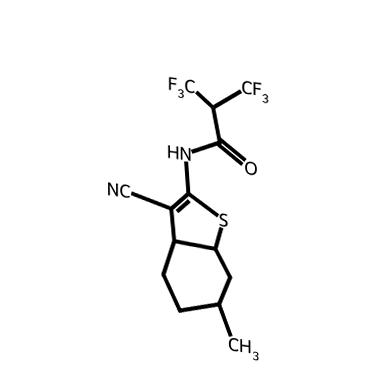 CC1CCC2C(C#N)=C(NC(=O)C(C(F)(F)F)C(F)(F)F)SC2C1